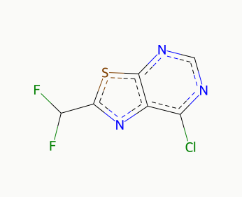 FC(F)c1nc2c(Cl)ncnc2s1